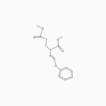 COC(=O)CCC(N=COc1ccccc1)C(=O)OC